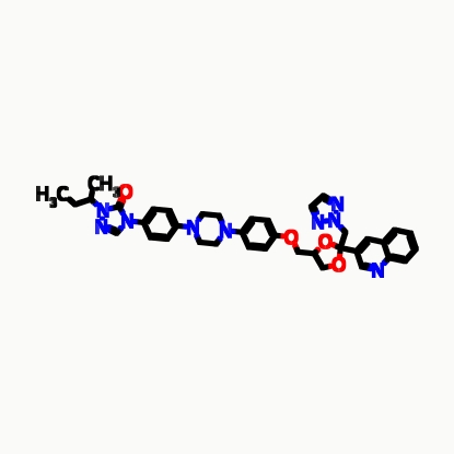 CCC(C)n1ncn(-c2ccc(N3CCN(c4ccc(OCC5COC(Cn6nccn6)(c6cnc7ccccc7c6)O5)cc4)CC3)cc2)c1=O